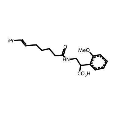 COc1ccccc1C(CNC(=O)CCCC/C=C/C(C)C)C(=O)O